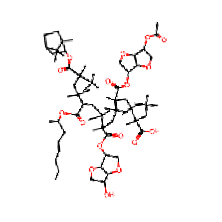 CCCCCCC(C)OC(=O)C(CC(C)(C)C(C)(CC(C)(C)C(C)(CC(C)(C)C(C)(CC(C)(C)C)C(=O)O)C(=O)OC1COC2C(OC(C)=O)COC12)C(=O)OC1COC2C(O)COC12)C(C)(C)CC(C)(C(=O)OC1CC2CCC1(C)C2(C)C)C(C)(C)C